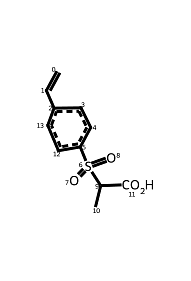 C=Cc1ccc(S(=O)(=O)C(C)C(=O)O)cc1